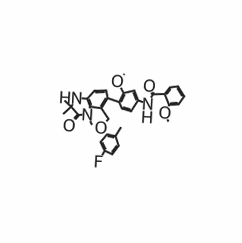 COc1ccccc1C(=O)Nc1ccc(-c2ccc3c(c2COc2cc(F)ccc2C)N(C)C(=O)C(C)(C)N3)c(OC)c1